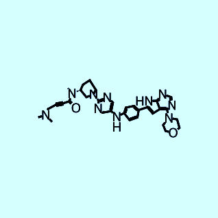 CN(C)CC#CC(=O)N(C)[C@@H]1CCCN(c2ncc(Nc3ccc(-c4cc5c(N6CCOCC6)ncnc5[nH]4)cc3)cn2)C1